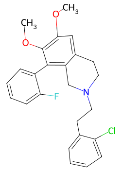 COc1cc2c(c(-c3ccccc3F)c1OC)CN(CCc1ccccc1Cl)CC2